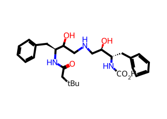 CC(C)(C)CC(=O)N[C@@H](Cc1ccccc1)C(O)CNC[C@@H](O)[C@H](Cc1ccccc1)NC(=O)O